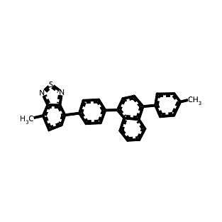 Cc1ccc(-c2ccc(-c3ccc(-c4ccc(C)c5nsnc45)cc3)c3ccccc23)cc1